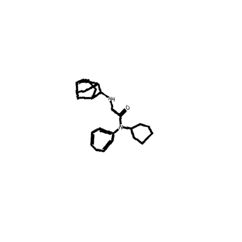 O=C(CNC1C2CC3=CC(C2)CC31)N(c1ccccc1)C1CCCCC1